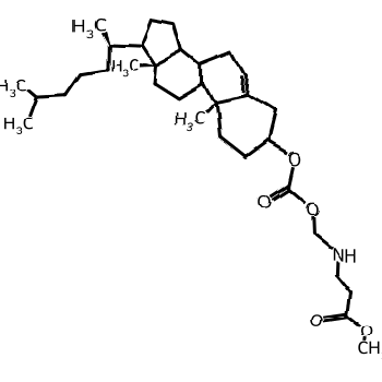 COC(=O)CCNCOC(=O)OC1CC[C@@]2(C)C(=CCC3C4CCC([C@H](C)CCCC(C)C)[C@@]4(C)CCC32)C1